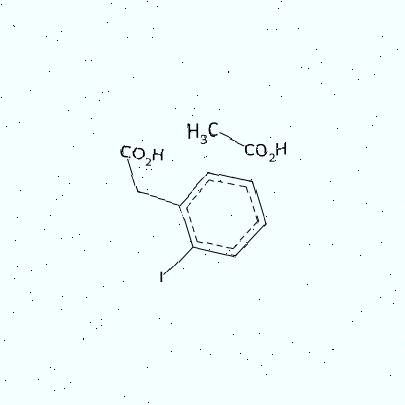 CC(=O)O.O=C(O)Cc1ccccc1I